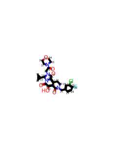 O=C(CN1C(=O)c2c3c(c(O)c(=O)n2C1C1CC1)C(=O)N(Cc1ccc(F)c(Cl)c1)CC3)N1CCOCC1